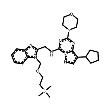 C[Si](C)(C)CCOCn1c(CNc2nc(N3CCOCC3)nc3c(C4CCCC4)cnn23)nc2ccccc21